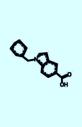 O=C(O)c1ccc2c(ccn2Cc2ccccc2)c1